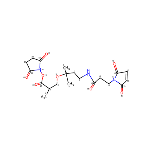 CC(COC(C)(C)CCNC(=O)CCN1C(=O)C=CC1=O)C(=O)ON1C(=O)CCC1=O